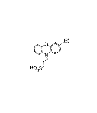 CCc1ccc2c(c1)Oc1ccccc1N2CCCS(=O)(=O)O